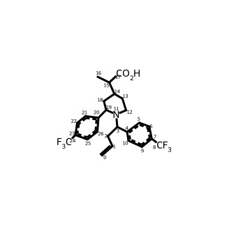 C=CCC(c1ccc(C(F)(F)F)cc1)N1CCC(C(C)C(=O)O)CC1c1ccc(C(F)(F)F)cc1